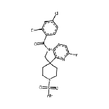 CCCS(=O)(=O)N1CCC(CNC(=O)c2ccc(Cl)cc2Cl)(c2cccc([18F])n2)CC1